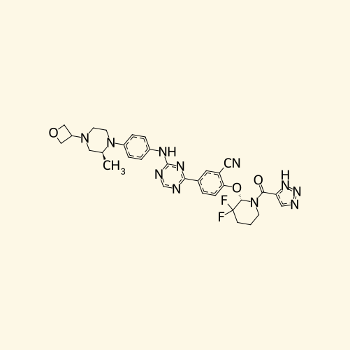 C[C@H]1CN(C2COC2)CCN1c1ccc(Nc2ncnc(-c3ccc(O[C@@H]4N(C(=O)c5cnn[nH]5)CCCC4(F)F)c(C#N)c3)n2)cc1